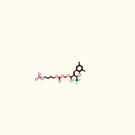 Cc1cc(C)c2c(c1)C=C(C(=O)OCOC(=O)OCCCCO[N+](=O)[O-])C(C(F)(F)F)O2